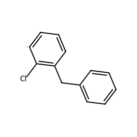 Clc1[c]cccc1Cc1ccccc1